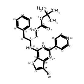 CC(C)(C)OC(=O)NC[C@@H](Cc1ccccc1)Nc1nc(-c2ccncc2)nc2c(Br)csc12